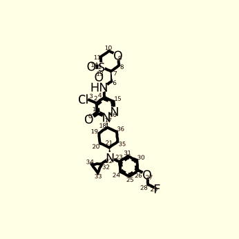 O=c1c(Cl)c(NC[C@@H]2COCCS2(=O)=O)cnn1[C@H]1CC[C@@H](N(c2ccc(OCF)cc2)C2CC2)CC1